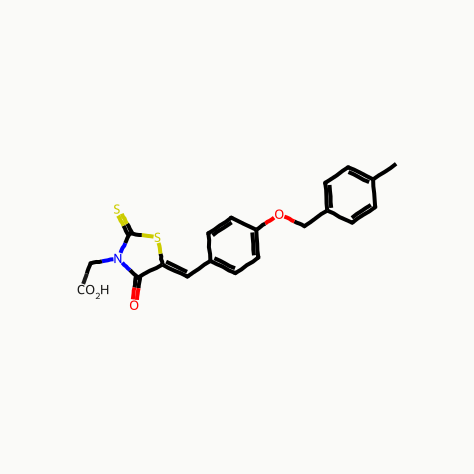 Cc1ccc(COc2ccc(/C=C3\SC(=S)N(CC(=O)O)C3=O)cc2)cc1